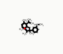 C=C(C)c1c(C)cccc1CC(C)(/C(C)=C/C)c1cccc(PC)c1